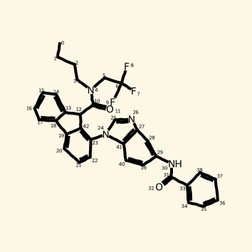 CCCCN(CC(F)(F)F)C(=O)C1c2ccccc2-c2cccc(-n3cnc4cc(NC(=O)c5ccccc5)ccc43)c21